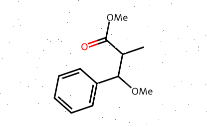 COC(=O)C(C)C(OC)c1ccccc1